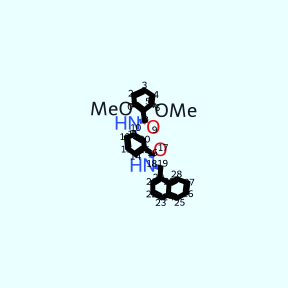 COc1cccc(OC)c1C(=O)Nc1cccc(C(=O)NCc2cccc3ccccc23)c1